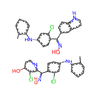 Cc1ccccc1Nc1ccc(C(=NO)c2ccc3[nH]ccc3c2)c(Cl)c1.Cc1ccccc1Nc1ccc(C(=NO)c2nccc(O)c2Cl)c(Cl)c1